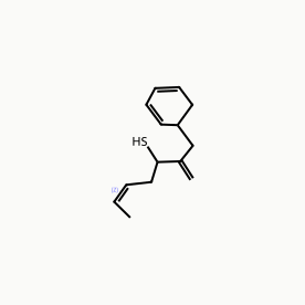 C=C(CC1C=CC=CC1)C(S)C/C=C\C